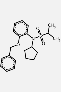 CC(C)S(=O)(=O)N(c1ccccc1OCc1ccccc1)C1CCCC1